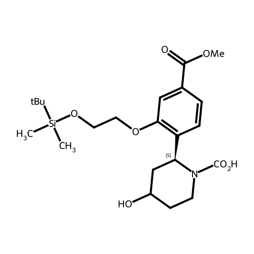 COC(=O)c1ccc([C@@H]2CC(O)CCN2C(=O)O)c(OCCO[Si](C)(C)C(C)(C)C)c1